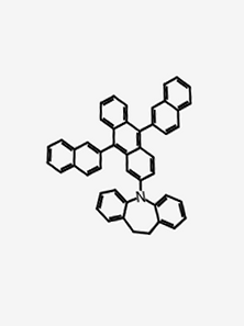 c1ccc2c(c1)CCc1ccccc1N2c1ccc2c(-c3ccc4ccccc4c3)c3ccccc3c(-c3ccc4ccccc4c3)c2c1